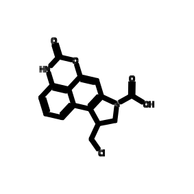 O=C1Nc2cccc3c4c(cc(c23)O1)N(C(=O)O)CC4CCl